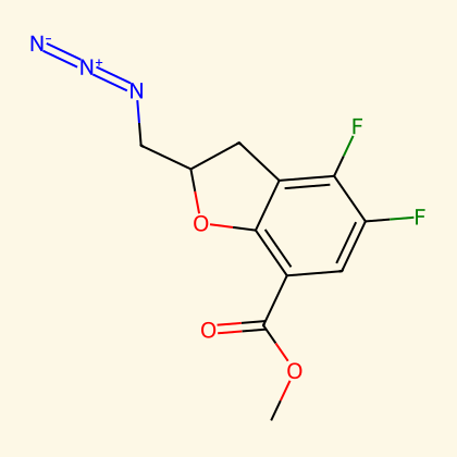 COC(=O)c1cc(F)c(F)c2c1OC(CN=[N+]=[N-])C2